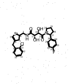 O=C(NCC1CC(Cc2ccccc2Cl)=CS1)[C@H](O)[C@@H](O)C(=O)N1CCCC1c1ccc(F)cc1